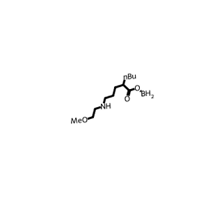 BOC(=O)C(CCCC)CCCNCCOC